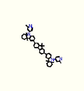 Cc1cc(N2c3ccc(-c4ccc5c(c4)C(C)(C)c4cc(-c6ccc7c(c6)C6(C)CCCCC6(C)N7c6ccnc(C)c6)ccc4-5)cc3C3(C)CCCCC23C)ccn1